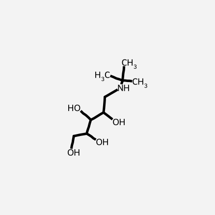 CC(C)(C)NCC(O)C(O)C(O)CO